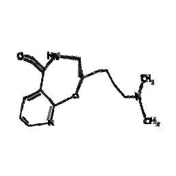 CN(C)CCC1CNC(=O)c2cccnc2O1